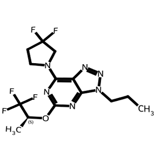 CCCn1nnc2c(N3CCC(F)(F)C3)nc(O[C@@H](C)C(F)(F)F)nc21